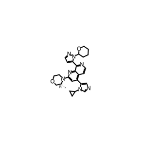 C[C@@H]1COCCN1c1cc(-c2cncn2C2CC2)c2ccnc(-c3ccnn3C3CCCCO3)c2n1